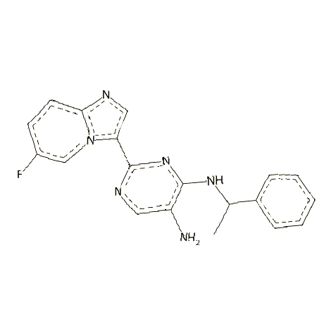 CC(Nc1nc(-c2cnc3ccc(F)cn23)ncc1N)c1ccccc1